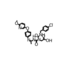 COc1ccc(Oc2ccc(/N=C(/C)NC(=O)N(CC(=O)O)C(=O)NCc3ccc(Cl)cc3)cc2)cn1